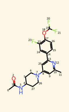 CC(=O)NC1CCN(c2cc(C)nc(-c3ccc(OC(F)F)c(F)c3)c2)CC1